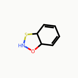 C1=CC2ONSC2C=C1